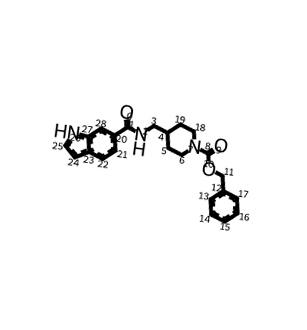 O=C(NCC1CCN(C(=O)OCc2ccccc2)CC1)c1ccc2cc[nH]c2c1